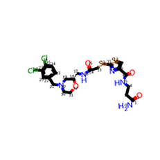 NC(=O)CCNC(=O)c1csc(SCC(=O)NC[C@H]2CN(Cc3ccc(Cl)c(Cl)c3)CCO2)n1